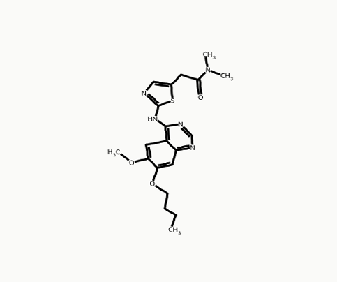 CCCCOc1cc2ncnc(Nc3ncc(CC(=O)N(C)C)s3)c2cc1OC